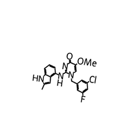 COc1cn(Cc2cc(F)cc(Cl)c2)c(Nc2cccc3[nH]c(C)cc23)nc1=O